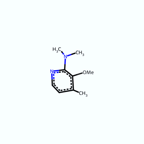 COc1c(C)ccnc1N(C)C